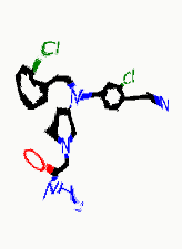 N#Cc1ccc(N(Cc2ccccc2Cl)[C@H]2CCN(CC(N)=O)C2)cc1Cl